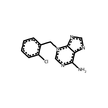 Nc1ncn(Cc2ccccc2Cl)c2ncnc1-2